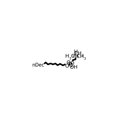 CCCCCCCCCCCCCCCCCCCOP(=O)(O)OCC[AsH](C)(C)C